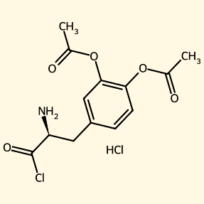 CC(=O)Oc1ccc(C[C@H](N)C(=O)Cl)cc1OC(C)=O.Cl